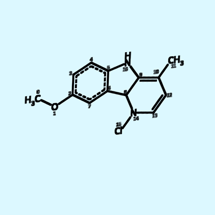 COc1ccc2c(c1)C1C(=C(C)C=CN1Cl)N2